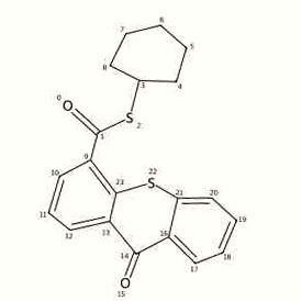 O=C(SC1CCCCC1)c1cccc2c(=O)c3ccccc3sc12